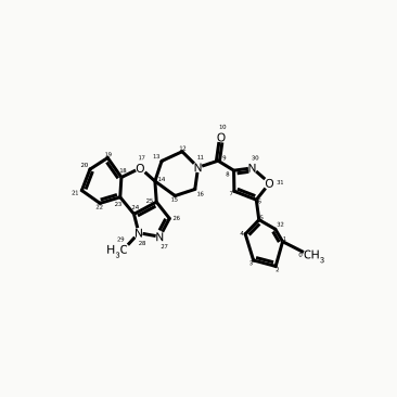 Cc1cccc(-c2cc(C(=O)N3CCC4(CC3)Oc3ccccc3-c3c4cnn3C)no2)c1